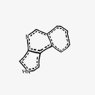 c1ccc2c(c1)cnc1c[nH]cc12